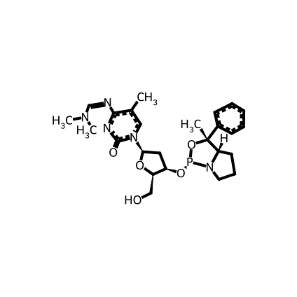 Cc1cn([C@H]2C[C@@H](O[P@@]3O[C@](C)(c4ccccc4)[C@@H]4CCCN43)[C@@H](CO)O2)c(=O)nc1/N=C\N(C)C